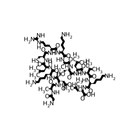 CC(C)C[C@H](NC(=O)[C@H](CCCCN)NC(=O)[C@@H](NC(=O)[C@H](CC(C)C)NC(=O)[C@H](CO)NC(=O)[C@H](C)NC(=O)[C@H](CCCCN)NC(=O)[C@H](CCCNC(=N)N)NC(=O)[C@H](CS)NC(=O)[C@H](CC(C)C)NC(=O)[C@H](CCCCN)NC(=O)[C@H](CC(=O)O)NC(=O)[C@H](C)NC(=O)CN)C(C)C)C(=O)O